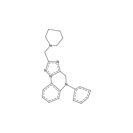 c1ccc(N2Cc3nc(CN4CCCCC4)nn3-c3ccccc32)cc1